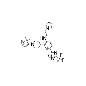 CC1(C)N=CC=C1N1CCC(c2nc(-c3nc(C(F)(F)F)no3)ccc2NCCN2CCCC2)CC1